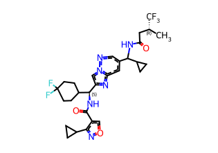 C[C@H](CC(=O)NC(c1cnn2cc([C@@H](NC(=O)c3conc3C3CC3)C3CCC(F)(F)CC3)nc2c1)C1CC1)C(F)(F)F